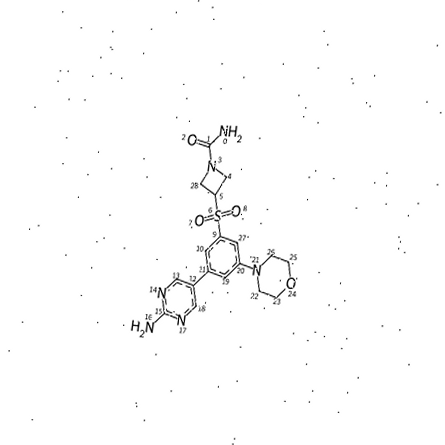 NC(=O)N1CC(S(=O)(=O)c2cc(-c3cnc(N)nc3)cc(N3CCOCC3)c2)C1